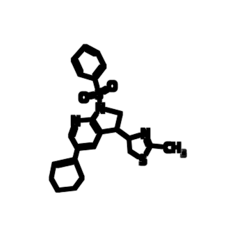 CC1=NC(C2CN(S(=O)(=O)c3ccccc3)c3ncc(C4=CCCCC4)cc32)CS1